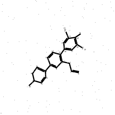 C=CCc1cc(C2=CCC(C)C=C2)ccc1-c1cc(F)c(C)c(F)c1